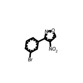 O=[N+]([O-])c1conc1-c1cccc(Br)c1